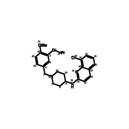 CCCOc1cc(CN2CCC(Nc3ccc4cccc(Cl)c4n3)CC2)ccc1OC